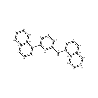 c1cc(Nc2nccc(-c3cccc4ccccc34)n2)c2ccncc2c1